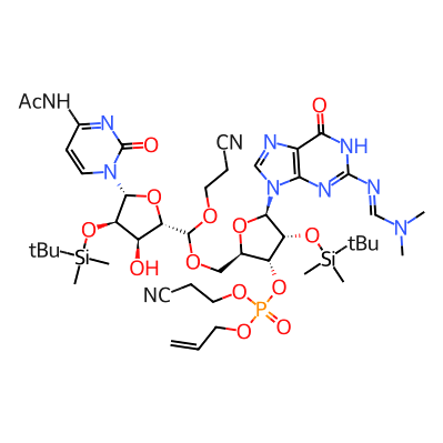 C=CCOP(=O)(OCCC#N)O[C@H]1[C@@H](O[Si](C)(C)C(C)(C)C)[C@H](n2cnc3c(=O)[nH]c(N=CN(C)C)nc32)O[C@@H]1COC(OCCC#N)[C@H]1O[C@@H](n2ccc(NC(C)=O)nc2=O)[C@H](O[Si](C)(C)C(C)(C)C)[C@@H]1O